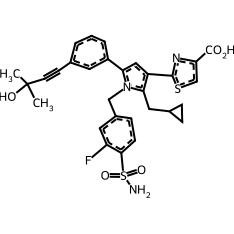 CC(C)(O)C#Cc1cccc(-c2cc(-c3nc(C(=O)O)cs3)c(CC3CC3)n2Cc2ccc(S(N)(=O)=O)c(F)c2)c1